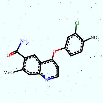 COc1cc2nccc(Oc3ccc([N+](=O)[O-])c(Cl)c3)c2cc1C(N)=O